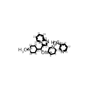 CO[C@H](c1c([C@H]2CCC[C@@H](c3ncccc3C)N2C)nc2ccccn12)C1CCN(C)CC1